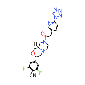 N#Cc1c(F)cc([C@H]2CN3CCN(C(=O)Cc4ccc(-n5cnnn5)nc4)C[C@H]3CO2)cc1F